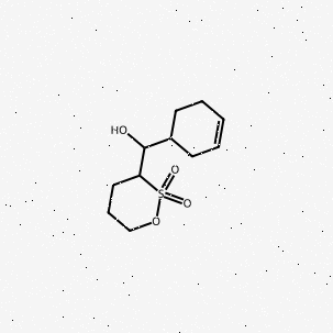 O=S1(=O)OCCCC1C(O)C1CC=CCC1